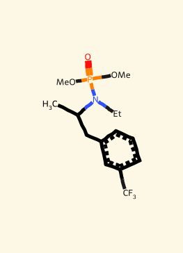 CCN(C(C)Cc1cccc(C(F)(F)F)c1)P(=O)(OC)OC